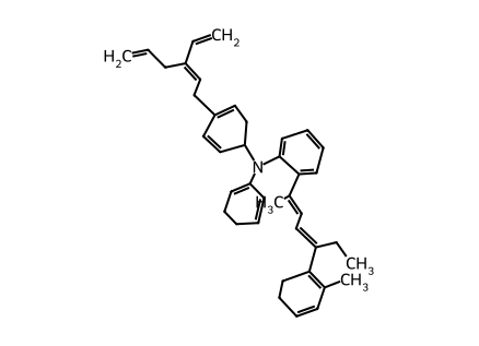 C=CC/C(C=C)=C\CC1=CCC(N(C2=CCCC=C2)c2ccccc2/C(C)=C/C=C(\CC)C2=C(C)C=CCC2)C=C1